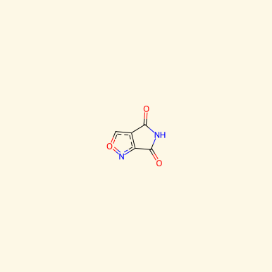 O=C1NC(=O)c2nocc21